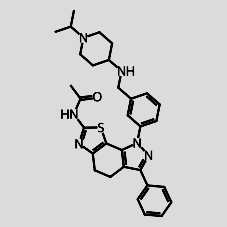 CC(=O)Nc1nc2c(s1)-c1c(c(-c3ccccc3)nn1-c1cccc(CNC3CCN(C(C)C)CC3)c1)CC2